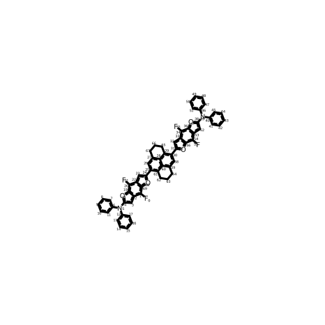 Fc1c2cc(N(c3ccccc3)c3ccccc3)oc2c(F)c2cc(-c3cc4c5c(c(-c6cc7c(F)c8oc(N(c9ccccc9)c9ccccc9)cc8c(F)c7o6)cc6c5c3CCC6)CCC4)oc12